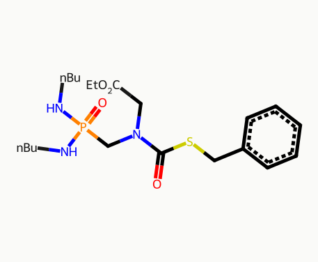 CCCCNP(=O)(CN(CC(=O)OCC)C(=O)SCc1ccccc1)NCCCC